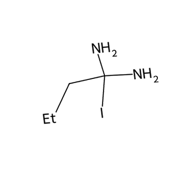 CCCC(N)(N)I